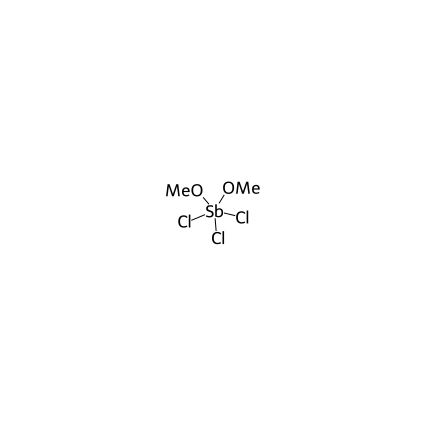 C[O][Sb]([Cl])([Cl])([Cl])[O]C